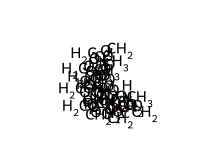 C=CC(=O)OCC(C)(COC(=O)C=C)NC(=O)OCC(COCC(COCC(COC(=O)NC(C)(COC(=O)C=C)COC(=O)C=C)OC(=O)NC(C)(COC(=O)C=C)COC(=O)C=C)OCC(COC(=O)NC(C)(COC(=O)C=C)COC(=O)C=C)OC(=O)NC(C)(COC(=O)C=C)COC(=O)C=C)OC(=O)NC(C)(COC(=O)C=C)COC(=O)C=C